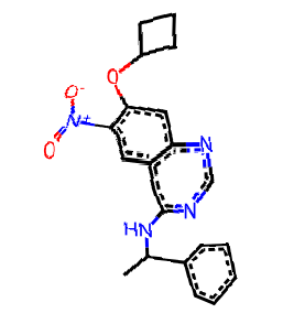 CC(Nc1ncnc2cc(OC3CCC3)c([N+](=O)[O-])cc12)c1ccccc1